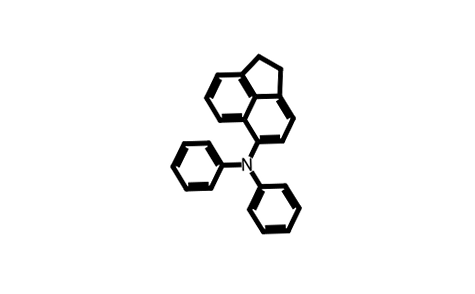 c1ccc(N(c2ccccc2)c2ccc3c4c(cccc24)CC3)cc1